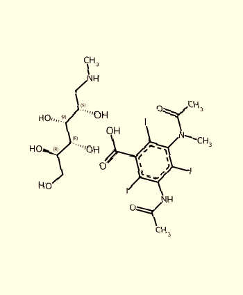 CC(=O)Nc1c(I)c(C(=O)O)c(I)c(N(C)C(C)=O)c1I.CNC[C@H](O)[C@@H](O)[C@H](O)[C@H](O)CO